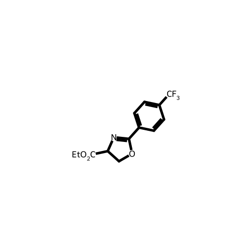 CCOC(=O)C1COC(c2ccc(C(F)(F)F)cc2)=N1